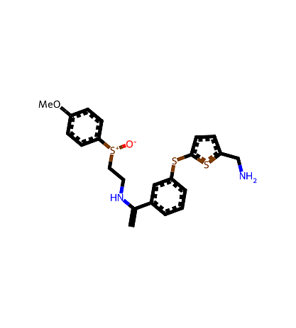 C=C(NCC[S+]([O-])c1ccc(OC)cc1)c1cccc(Sc2ccc(CN)s2)c1